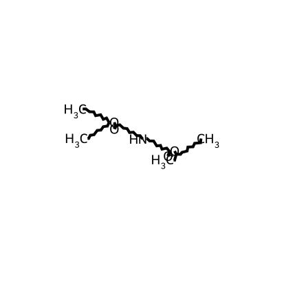 CCCCCCCCC(CC)OC(=O)CCCCCCCNCCCCCCCC(=O)OC(CCCCCCCC)CCCCCCCC